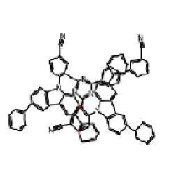 N#Cc1cccc(-c2ccc(-c3nc(-c4cc(C#N)ccc4-n4c5ccc(-c6ccccc6)cc5c5cc(-c6ccccc6)ccc54)nc(-c4cc(C#N)ccc4-n4c5ccc(-c6ccccc6)cc5c5cc(-c6ccccc6)ccc54)n3)cc2)c1